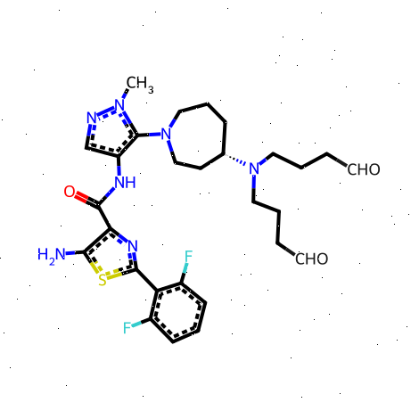 Cn1ncc(NC(=O)c2nc(-c3c(F)cccc3F)sc2N)c1N1CCC[C@H](N(CCCC=O)CCCC=O)CC1